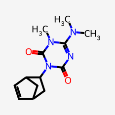 CN(C)c1nc(=O)n(C2CC3C=CC2C3)c(=O)n1C